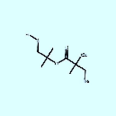 CCSCC(C)(C)OC(=O)C(C)(CC(C)(C)C)C(C)(C)C